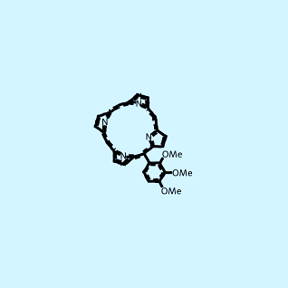 COc1ccc(-c2c3nc(cc4ccc(cc5nc(cc6ccc2[nH]6)C=C5)[nH]4)C=C3)c(OC)c1OC